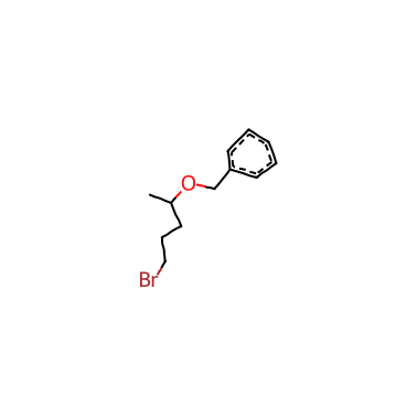 CC(CCCBr)OCc1ccccc1